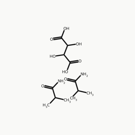 CC(C)C(N)=O.CC(C)C(N)=O.O=C(O)C(O)C(O)C(=O)O